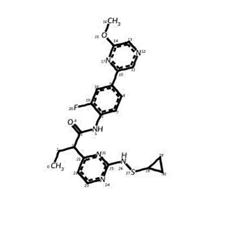 CCC(C(=O)Nc1ccc(-c2cncc(OC)n2)cc1F)c1ccnc(NSC2CC2)n1